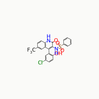 O=c1[nH]c2ccc(C(F)(F)F)cc2c(-c2cc(Cl)ccc2O)c1NS(=O)(=O)c1ccccc1